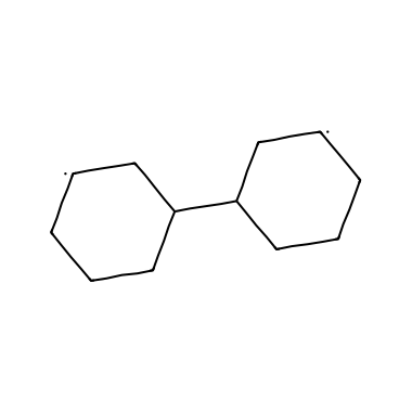 [CH]1CCCC(C2C[CH]CCC2)C1